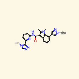 Cc1c(C(=O)Nc2cccc(-c3nncn3C(C)C)n2)c2cccc(-c3cnn(C(C)(C)C)c3)c2n1C